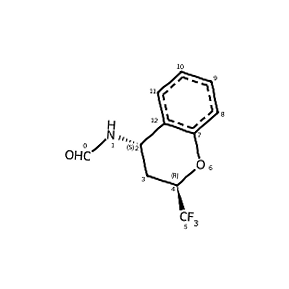 O=CN[C@H]1C[C@H](C(F)(F)F)Oc2ccccc21